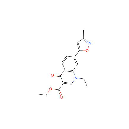 CCOC(=O)c1cn(CC)c2cc(-c3cc(C)no3)ccc2c1=O